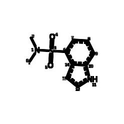 [CH2]N(C)S(=O)(=O)c1cccc2[nH]ccc12